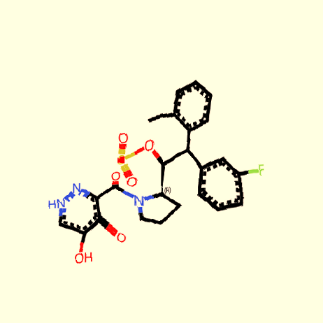 Cc1ccccc1C(c1cccc(F)c1)C(OS(C)(=O)=O)[C@H]1CCCN1C(=O)c1n[nH]cc(O)c1=O